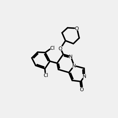 O=c1cc2cc(-c3c(Cl)cccc3Cl)c(OC3CCOCC3)nn2cn1